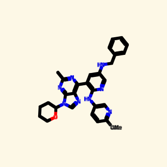 COc1ccc(Nc2ncc(NCc3ccccc3)cc2-c2nc(C)nc3c2ncn3C2CCCCO2)cn1